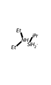 CC(C)[SiH2].CCNCC